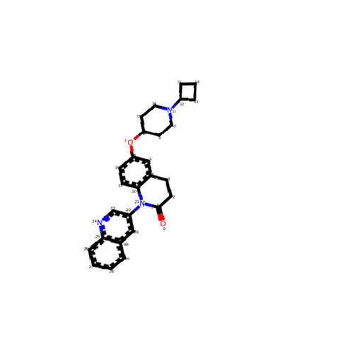 O=C1CCc2cc(OC3CCN(C4CCC4)CC3)ccc2N1c1cnc2ccccc2c1